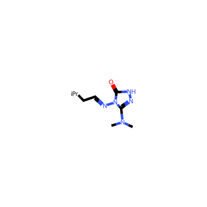 CC(C)CC=Nn1c(N(C)C)n[nH]c1=O